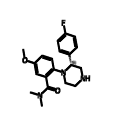 COc1ccc(N2CCNC[C@H]2c2ccc(F)cc2)c(C(=O)N(C)C)c1